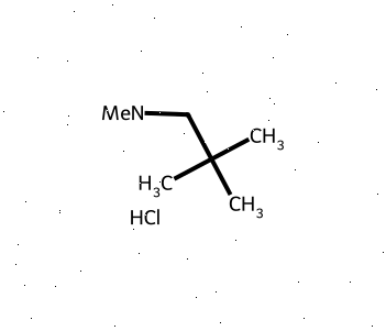 CNCC(C)(C)C.Cl